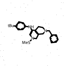 CSN1C=C(Nc2ccc(C(C)(C)C)cc2)C2=C(CN(Cc3ccccc3)CC2)C1